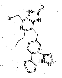 CCCc1nc(CBr)n2[nH]c(=O)nc2c1Cc1ccc(-c2ccccc2)c(-c2nnn[nH]2)c1